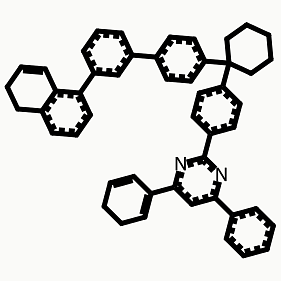 C1=CC(c2cc(-c3ccccc3)nc(-c3ccc(C4(c5ccc(-c6cccc(-c7cccc8c7C=CCC8)c6)cc5)CCCCC4)cc3)n2)=CCC1